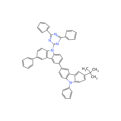 CC(C)(C)c1ccc2c(c1)c1cc(-c3ccc4c(c3)c3cc(-c5ccccc5)ccc3n4-c3nc(-c4ccccc4)nc(-c4ccccc4)n3)ccc1n2-c1ccccc1